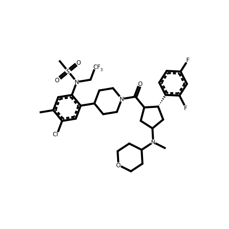 Cc1cc(N(CC(F)(F)F)S(C)(=O)=O)c(C2CCN(C(=O)C3CC(N(C)C4CCOCC4)C[C@H]3c3ccc(F)cc3F)CC2)cc1Cl